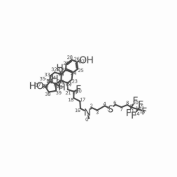 CN(CCCSCCCC(F)(F)C(F)(F)F)CCCC(F)C[C@@H]1Cc2cc(O)ccc2[C@H]2CC[C@]3(C)[C@@H](O)CC[C@H]3[C@H]12